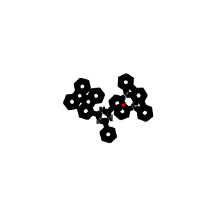 c1ccc(-c2nc(-c3ccc(-n4c5ccccc5c5ccc6c7ccccc7n(-c7ccccc7)c6c54)cc3)nc(-c3cccc4c3-c3ccccc3C43c4ccccc4-c4ccccc43)n2)cc1